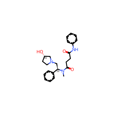 CN(C(=O)CCC(=O)Nc1ccccc1)[C@H](CN1CC[C@H](O)C1)c1ccccc1